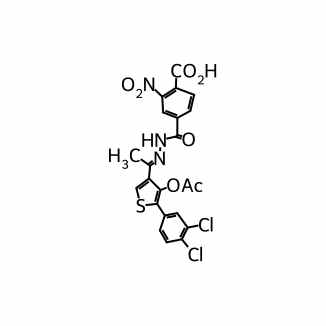 CC(=O)Oc1c(/C(C)=N/NC(=O)c2ccc(C(=O)O)c([N+](=O)[O-])c2)csc1-c1ccc(Cl)c(Cl)c1